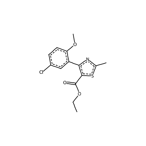 CCOC(=O)c1sc(C)nc1-c1cc(Cl)ccc1OC